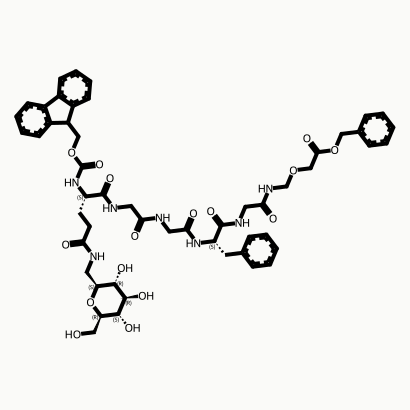 O=C(CC[C@H](NC(=O)OCC1c2ccccc2-c2ccccc21)C(=O)NCC(=O)NCC(=O)N[C@@H](Cc1ccccc1)C(=O)NCC(=O)NCOCC(=O)OCc1ccccc1)NC[C@@H]1O[C@H](CO)[C@@H](O)[C@H](O)[C@H]1O